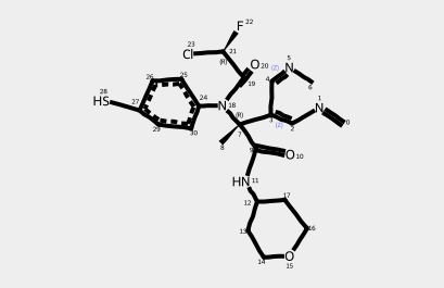 C=N/C=C(\C=N/C)[C@](C)(C(=O)NC1CCOCC1)N(C(=O)[C@H](F)Cl)c1ccc(S)cc1